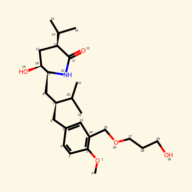 COc1ccc(C[C@@H](C[C@@H]2NC(=O)[C@H](C(C)C)C[C@@H]2O)C(C)C)cc1COCCCO